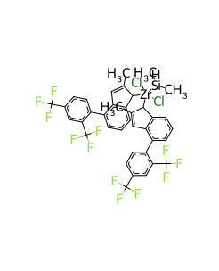 CC1=Cc2c(-c3ccc(C(F)(F)F)cc3C(F)(F)F)cccc2[CH]1[Zr]([Cl])([Cl])([CH]1C(C)=Cc2c(-c3ccc(C(F)(F)F)cc3C(F)(F)F)cccc21)[SiH](C)C